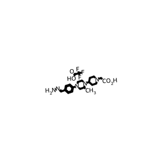 CC1CN(c2ccc(C=NN)cc2)CCN1C1CCN(CC(=O)O)CC1.O=C(O)C(F)(F)F